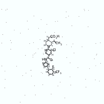 C=C[C@H]1CN(c2ncc(C(=O)Nc3nc(-c4cccc(C(F)(F)F)c4F)cs3)cc2Cl)CC[C@H]1CC(=O)O